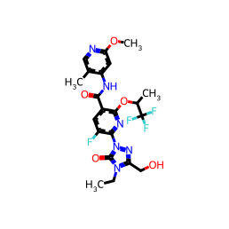 CCn1c(CO)nn(-c2nc(OC(C)C(F)(F)F)c(C(=O)Nc3cc(OC)ncc3C)cc2F)c1=O